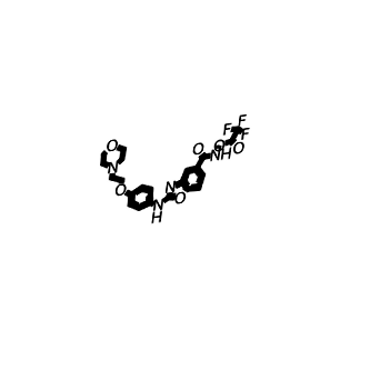 O=C(NOC(=O)C(F)(F)F)c1ccc2oc(Nc3ccc(OCCN4CCOCC4)cc3)nc2c1